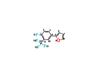 Fc1ccc(-c2ccco2)cc1C(F)(F)F